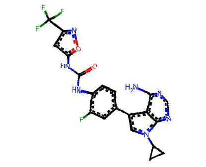 Nc1ncnc2c1c(-c1ccc(NC(=O)Nc3cc(C(F)(F)F)no3)c(F)c1)cn2C1CC1